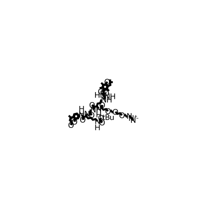 Cc1c(C)c(S(=O)(=O)NC(=N)NCCCC(NC(=O)CCOCCOCCOCCN=[N+]=[N-])C(=O)NCC(=O)NC(CCCCNC(=O)OC(C)(C)C)C(=O)Nc2ccc3c(C)cc(=O)oc3c2)c(C)c2c1OC(C)(C)C2